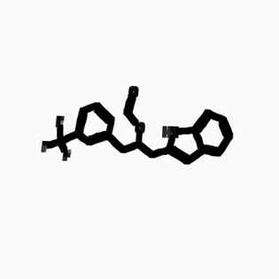 O=COC(Cc1cccc(C(F)(F)F)c1)Cc1cc2ccccc2[nH]1